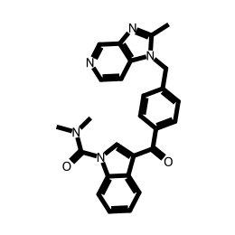 Cc1nc2cnccc2n1Cc1ccc(C(=O)c2cn(C(=O)N(C)C)c3ccccc23)cc1